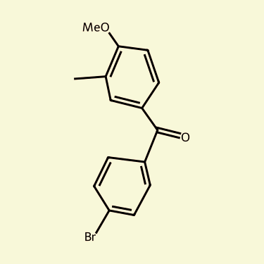 COc1ccc(C(=O)c2ccc(Br)cc2)cc1C